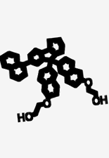 OCCOc1ccc2cc(C3(c4ccc5cc(OCCO)ccc5c4)c4ccccc4-c4ccc(-c5cccc6ccccc56)cc43)ccc2c1